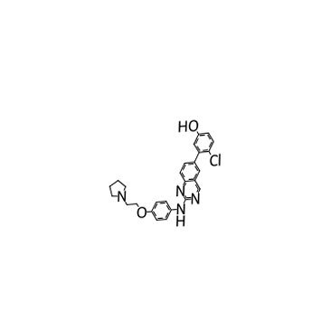 Oc1ccc(Cl)c(-c2ccc3nc(Nc4ccc(OCCN5CCCC5)cc4)ncc3c2)c1